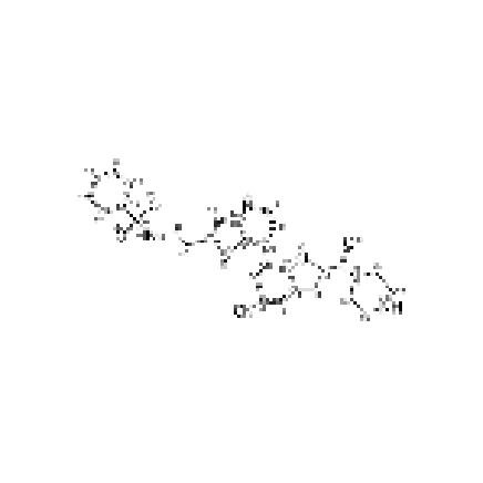 O=C(C1Cc2cc(Cl)cc(-c3ccnc4cc(CCNS(=O)(=O)c5ccccc5)sc34)c2O1)N1CCNCC1